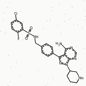 Nc1ncnc2c1c(-c1ccc(CNS(=O)(=O)c3cc(Cl)ccc3F)cc1)nn2C1CCCNC1